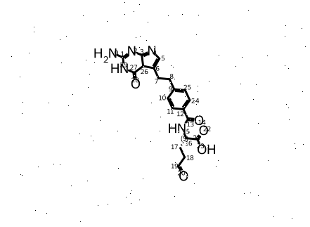 NC1=NC2=NC=C(CCc3ccc(C(=O)N[C@@H](CCC=O)C(=O)O)cc3)C2C(=O)N1